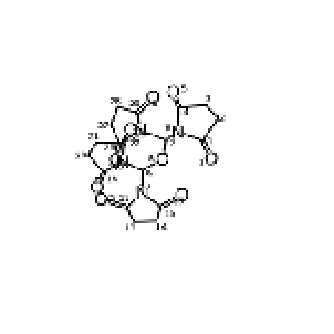 O=C1CCC(=O)N1C(OC(N1C(=O)CCC1=O)N1C(=O)CCC1=O)N1C(=O)CCC1=O